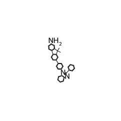 CC1(C)c2cc(N)ccc2-c2ccc(-c3ccc(-n4c(-c5ccccc5)nc5ccccc54)cc3)cc21